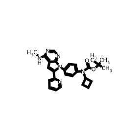 CNc1ncnc2c1cc(-c1ccccn1)n2-c1ccc(N(C(=O)OC(C)(C)C)C2CCC2)cc1